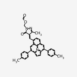 CC1=NN(COC=O)C(=O)/C1=C/c1ccc2cc(-c3ccc(C)cc3)c3ccc4c(-c5ccc(C)cc5)cc1c2n34